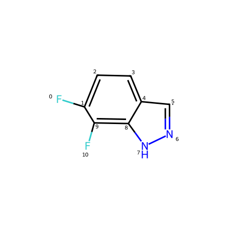 Fc1ccc2[c]n[nH]c2c1F